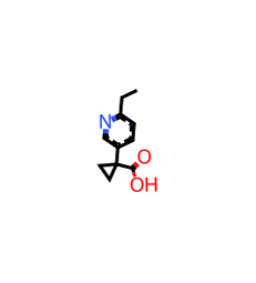 CCc1ccc(C2(C(=O)O)CC2)cn1